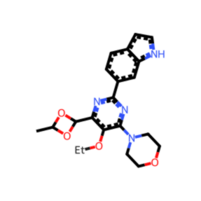 CCOc1c(C2OC(C)O2)nc(-c2ccc3cc[nH]c3c2)nc1N1CCOCC1